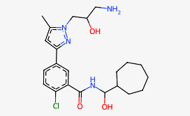 Cc1cc(-c2ccc(Cl)c(C(=O)NC(O)C3CCCCCC3)c2)nn1CC(O)CN